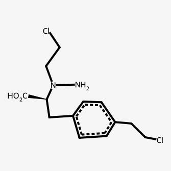 NN(CCCl)[C@@H](Cc1ccc(CCCl)cc1)C(=O)O